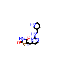 O=C1NC(=O)/C(=C\c2ccnc(NCC3CCCNC3)n2)S1